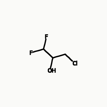 OC(CCl)C(F)F